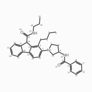 CCCCc1c(N2CCC(NC(=O)c3ccccc3)C2)ccc2c1C(C(=O)NCCC)c1ccccc1-2